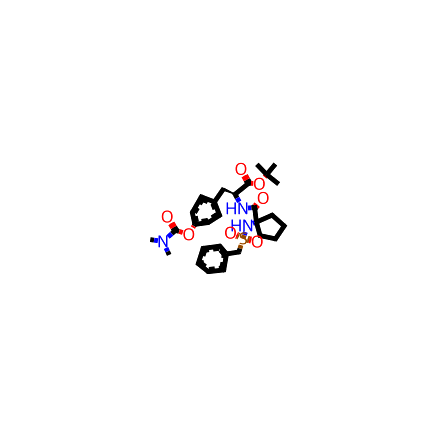 CN(C)C(=O)Oc1ccc(C[C@H](NC(=O)C2(NS(=O)(=O)Cc3ccccc3)CCCC2)C(=O)OC(C)(C)C)cc1